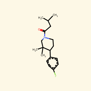 CC(C)CC(=O)N1CCC(c2ccc(F)cc2)C(C)(C)C1